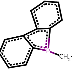 [CH2]p1c2ccccc2c2ccccc21